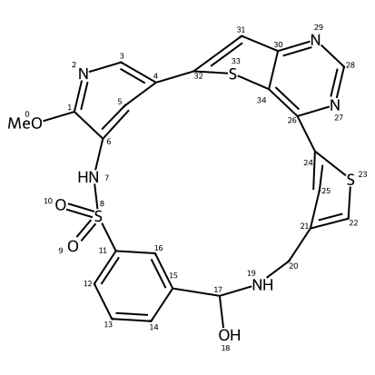 COc1ncc2cc1NS(=O)(=O)c1cccc(c1)C(O)NCc1csc(c1)-c1ncnc3cc-2sc13